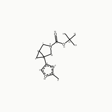 Cc1nc(C23CC2CN(C(=O)OC(C)(C)C)C3)co1